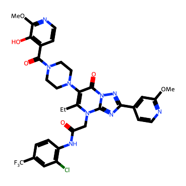 CCc1c(N2CCN(C(=O)c3ccnc(OC)c3O)CC2)c(=O)n2nc(-c3ccnc(OC)c3)nc2n1CC(=O)Nc1ccc(C(F)(F)F)cc1Cl